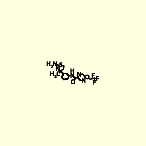 C[C@@]1(c2cccc(NC(=O)c3cnc(OCC(F)(F)F)cn3)c2)CCSC(N)=N1